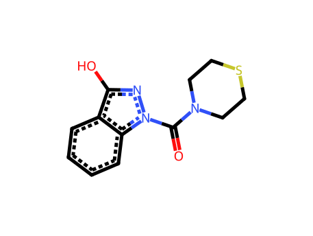 O=C(N1CCSCC1)n1nc(O)c2ccccc21